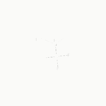 F[SiH]([SiH3])[Si](F)(F)F